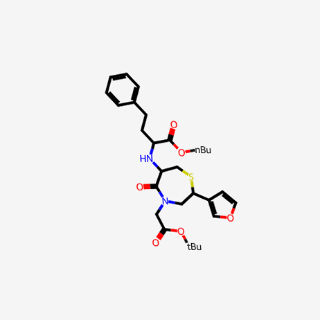 CCCCOC(=O)C(CCc1ccccc1)NC1CSC(c2ccoc2)CN(CC(=O)OC(C)(C)C)C1=O